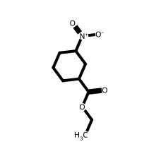 CCOC(=O)C1CCCC([N+](=O)[O-])C1